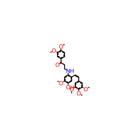 COc1cc(NCCC(=O)c2ccc(OC)c(OC)c2)c(/C=C\c2cc(OC)c(OC)c(OC)c2)cc1O